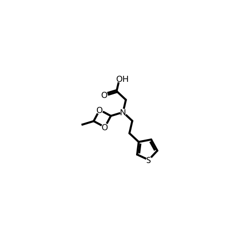 CC1OC(N(CCc2ccsc2)CC(=O)O)O1